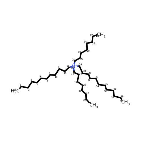 CCCCCCCCCCCC[N+](CCCCCCCC)(CCCCCCCC)CCCCCCCCCCCC